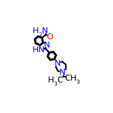 CC(C)N1CCCN(c2ccc(-c3nc4c(C(N)=O)cccc4[nH]3)cc2)CC1